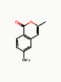 COc1ccc2c(=O)oc(C)cc2c1